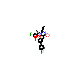 CCCCc1nc(=O)c(Cc2cccc(-c3ccc(F)cc3)c2)c(O)n1[C@@H](CC)c1cc(F)cc(F)c1